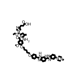 C=C1C[C@@H](C(OCC)n2cnc(CCC(=O)O)c2)N(C(=O)c2cc(OC)c(OCCCCCOc3ccc(-c4nc5ccc(-c6nc7cc(N8CCN(C)CC8)ccc7[nH]6)cc5[nH]4)cc3)cc2N)C1